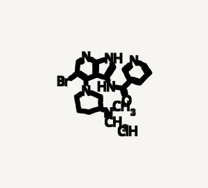 CN(C)C1CCCN(c2c(Br)cnc3[nH]cc(NC(=O)c4cccnc4)c23)C1.Cl